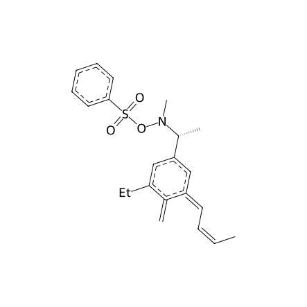 C=c1c(CC)cc([C@@H](C)N(C)OS(=O)(=O)c2ccccc2)c/c1=C/C=C\C